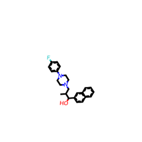 CC(CN1CCN(c2ccc(F)cc2)CC1)C(O)c1ccc2ccccc2c1